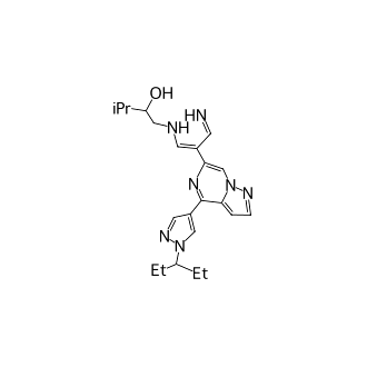 CCC(CC)n1cc(-c2nc(/C(C=N)=C/NCC(O)C(C)C)cn3nccc23)cn1